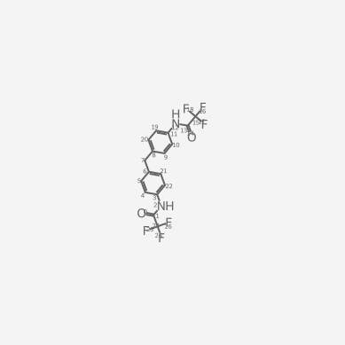 O=C(Nc1ccc(Cc2ccc(NC(=O)C(F)(F)F)cc2)cc1)C(F)(F)F